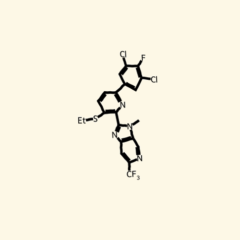 CCSc1ccc(-c2cc(Cl)c(F)c(Cl)c2)nc1-c1nc2cc(C(F)(F)F)ncc2n1C